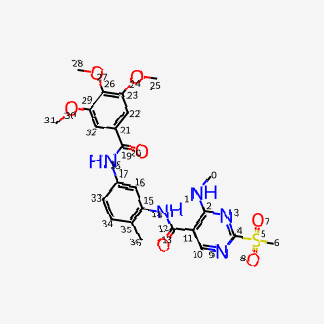 CNc1nc(S(C)(=O)=O)ncc1C(=O)Nc1cc(NC(=O)c2cc(OC)c(OC)c(OC)c2)ccc1C